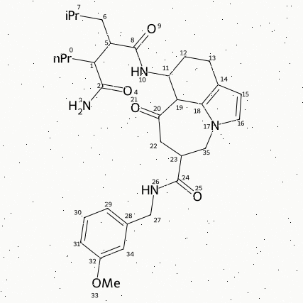 CCCC(C(N)=O)C(CC(C)C)C(=O)NC1CCc2ccn3c2C1C(=O)CC(C(=O)NCc1cccc(OC)c1)C3